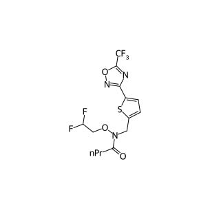 CCCC(=O)N(Cc1ccc(-c2noc(C(F)(F)F)n2)s1)OCC(F)F